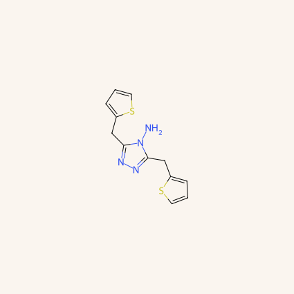 Nn1c(Cc2cccs2)nnc1Cc1cccs1